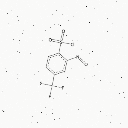 O=Nc1cc(C(F)(F)F)ccc1S(=O)(=O)Cl